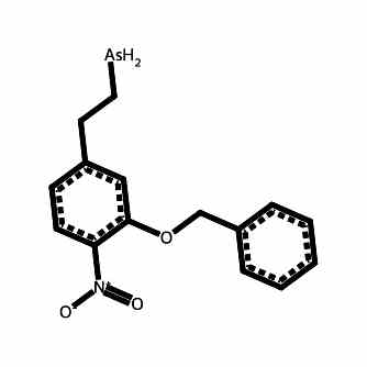 O=[N+]([O-])c1ccc(CC[AsH2])cc1OCc1ccccc1